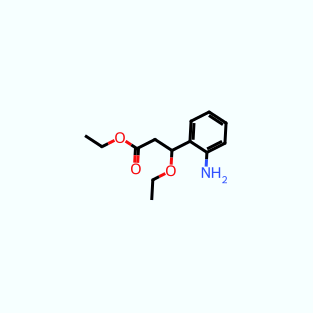 CCOC(=O)CC(OCC)c1ccccc1N